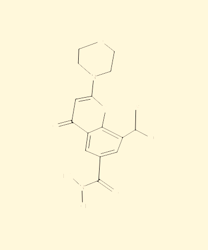 CCC(Br)c1cc(C(=O)N(C)C)cc2c(=O)cc(N3CCOCC3)oc12